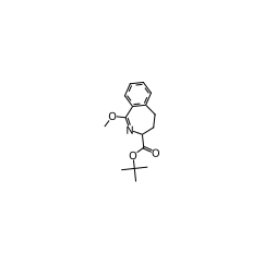 COC1=NC(C(=O)OC(C)(C)C)CCc2ccccc21